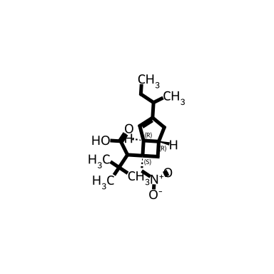 CCC(C)C1=C[C@H]2[C@H](C1)C[C@@]2(C[N+](=O)[O-])C(C(=O)O)C(C)(C)C